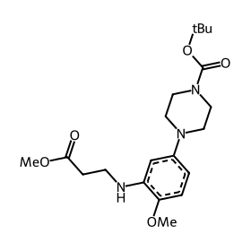 COC(=O)CCNc1cc(N2CCN(C(=O)OC(C)(C)C)CC2)ccc1OC